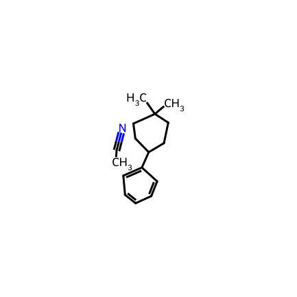 CC#N.CC1(C)CCC(c2ccccc2)CC1